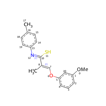 COc1cccc(O/C=C(C)/C(S)=N/c2ccc(C)cc2)c1